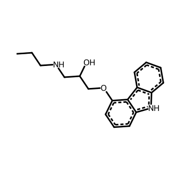 CCCNCC(O)COc1cccc2[nH]c3ccccc3c12